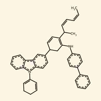 C/C=C\C=C/C(C)C1=C(Nc2ccc(-c3ccccc3)cc2)CC(c2ccc3c(c2)c2ccccc2n3C2=CCCC=C2)C=C1